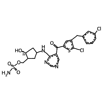 NS(=O)(=O)OCC1CC(Nc2ncncc2C(=O)c2cc(Cc3cccc(Cl)c3)c(Cl)s2)C[C@@H]1O